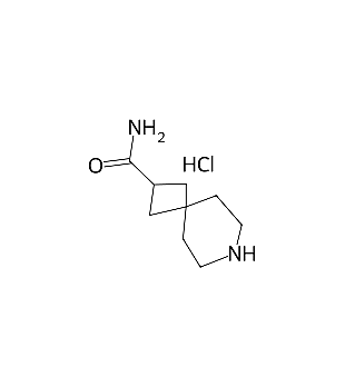 Cl.NC(=O)C1CC2(CCNCC2)C1